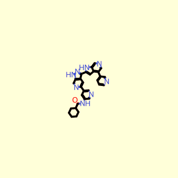 O=C(Nc1cncc(-c2cc3c(-c4cc5c(-c6cccnc6)cncc5[nH]4)n[nH]c3cn2)c1)C1CCCCC1